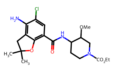 CCOC(=O)N1CCC(NC(=O)c2cc(Cl)c(N)c3c2OC(C)(C)C3)C(OC)C1